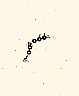 CCCCOC1CCC(c2cc(F)c(C(F)(F)Oc3ccc(-c4ccc(-c5ccc(OCC)c(F)c5)c(F)c4)cc3)c(F)c2)CC1